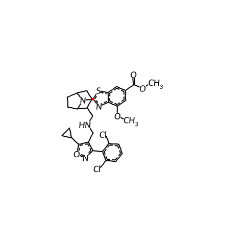 COC(=O)c1cc(OC)c2nc(N3C4CCC(CNCc5c(-c6c(Cl)cccc6Cl)noc5C5CC5)C3CC4)sc2c1